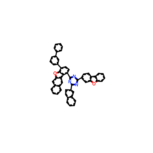 c1ccc(-c2cccc(-c3ccc(-c4nc(-c5ccc6ccccc6c5)nc(-c5ccc6c(c5)oc5ccccc56)n4)c4c3oc3cc5ccccc5cc34)c2)cc1